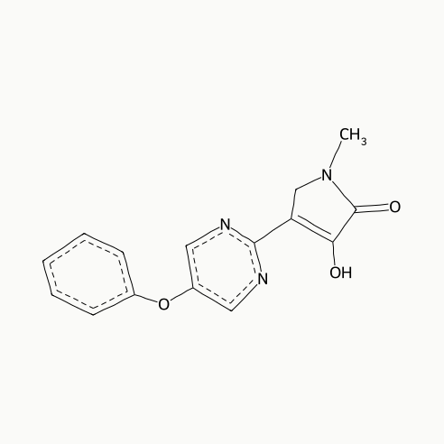 CN1CC(c2ncc(Oc3ccccc3)cn2)=C(O)C1=O